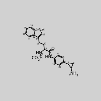 NC1CC1c1ccc(NC(=O)C(CCc2c[nH]c3ccccc23)NC(=O)O)cc1